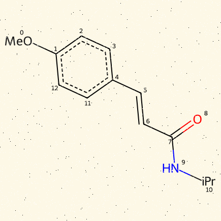 COc1ccc(/C=C/C(=O)NC(C)C)cc1